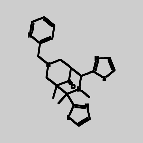 CN1C(c2nccs2)C2CN(Cc3ccccn3)CC(C)(C2=O)C1(C)c1nccs1